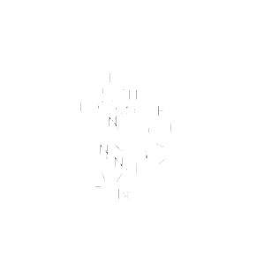 CC(C)(C)[S+]([O-])/N=C1\C[C@H](c2c(Cl)cccc2OC(F)F)c2c1nc1cc(F)c(Br)cn21